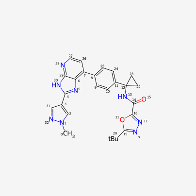 Cn1cc(-c2nc3c(-c4ccc(C5(NC(=O)c6nnc(C(C)(C)C)o6)CC5)cc4)ccnc3[nH]2)cn1